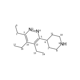 CCc1nnc(C2CCNCC2)c(CC)c1CC